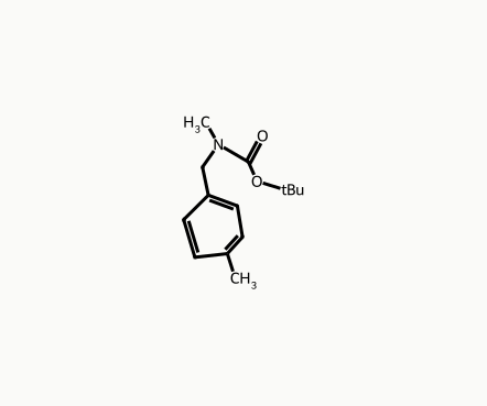 Cc1ccc(CN(C)C(=O)OC(C)(C)C)cc1